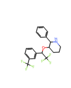 FC(F)(F)c1cccc(C(OC2CCCNC2c2ccccc2)C(F)(F)F)c1